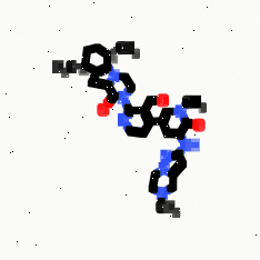 C[C@@H]1CC[C@H](C)c2c1cc1n2CCN(c2nccc(-c3cc(Nc4cc5n(n4)CCN(C)C5)c(=O)n(C)c3)c2C=O)C1=O